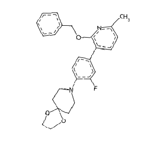 Cc1ccc(-c2ccc(N3CCC4(CC3)OCCO4)c(F)c2)c(OCc2ccccc2)n1